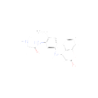 COc1ccc(N(C)c2cc(=O)oc3ccccc23)cc1NC(=O)[C@H](C)N(C)C